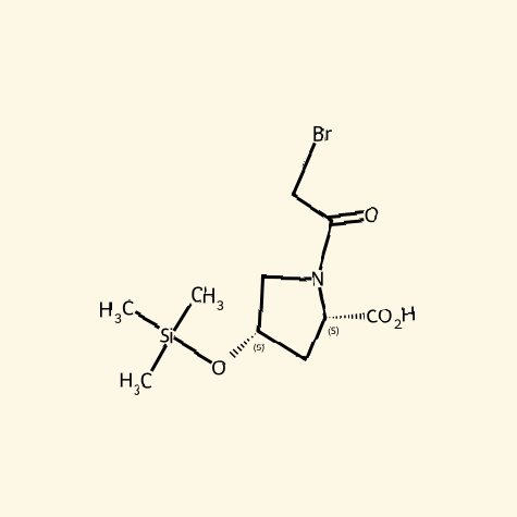 C[Si](C)(C)O[C@H]1C[C@@H](C(=O)O)N(C(=O)CBr)C1